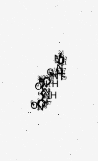 COc1cc(-c2cc(C(=O)N3CC[C@H](C(=O)N[C@H]4CN(c5ccc(C)nc5)C[C@@H]4F)CC34CC4)n[nH]2)c(F)cn1